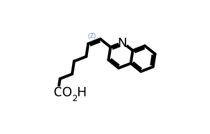 O=C(O)CCCC/C=C\c1ccc2ccccc2n1